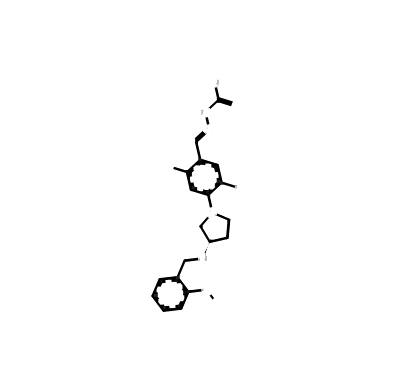 NC(=S)NN=Cc1cc(F)c(N2CC[C@@H](NCc3ccccc3OC(F)(F)F)C2)cc1F